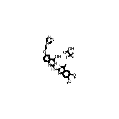 COc1cc2nc(Nc3nc(O)c4cc(OCCn5cnnc5)ccc4n3)nc(C)c2cc1OC.O=C(O)C(F)(F)F